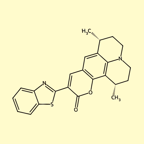 C[C@@H]1CCN2CC[C@H](C)c3c2c1cc1cc(-c2nc4ccccc4s2)c(=O)oc31